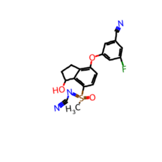 CS(=O)(=NC#N)c1ccc(Oc2cc(F)cc(C#N)c2)c2c1C(O)CC2